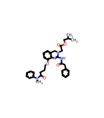 CC(C)COC(=O)CN1Cc2cccc(OCCCC(=O)N(C)c3ccccc3)c2N=C1NC(=O)Cc1ccccc1